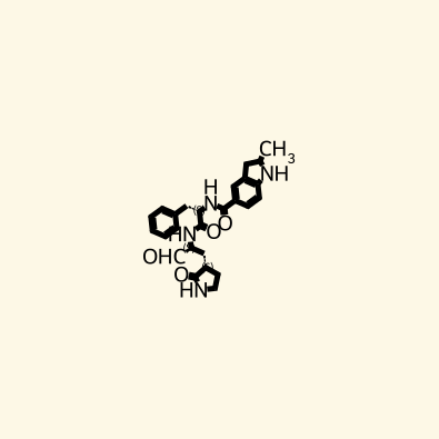 CC1Cc2cc(C(=O)N[C@@H](Cc3ccccc3)C(=O)N[C@H](C=O)C[C@@H]3CCNC3=O)ccc2N1